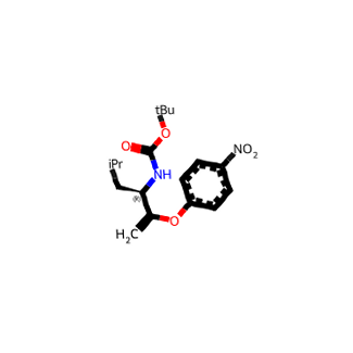 C=C(Oc1ccc([N+](=O)[O-])cc1)[C@@H](CC(C)C)NC(=O)OC(C)(C)C